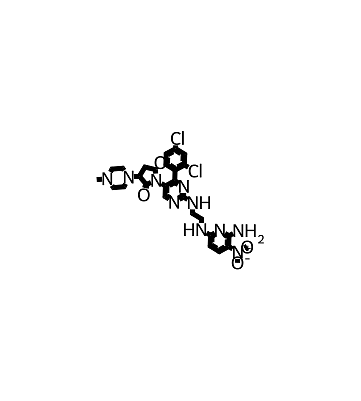 CN1CCN(C2CC(=O)N(c3cnc(NCCNc4ccc([N+](=O)[O-])c(N)n4)nc3-c3ccc(Cl)cc3Cl)C2=O)CC1